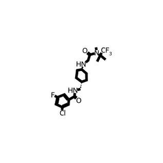 CN(C(=O)CN[C@H]1CC[C@H](CNC(=O)c2cc(F)cc(Cl)c2)CC1)C(C)(C)C(F)(F)F